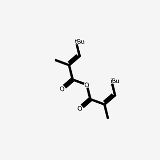 CCC(C)C=C(C)C(=O)OC(=O)C(C)=CC(C)(C)C